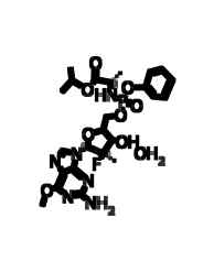 COc1nc(N)nc2c1ncn2[C@@H]1OC(COP(=O)(N[C@@H](C)C(=O)OC(C)C)Oc2ccccc2)C(O)[C@@]1(C)F.O